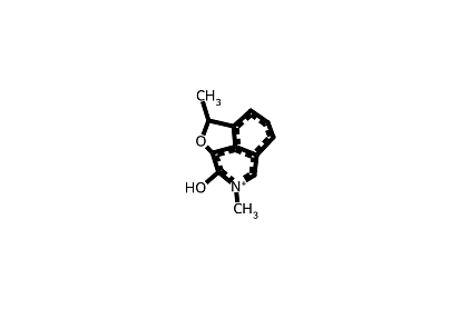 CC1Oc2c(O)[n+](C)cc3cccc1c23